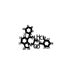 O=C(N[C@@H]1N=C(c2ccccc2)c2cccc3c2N(CC3)C1=O)c1ccccc1Cl